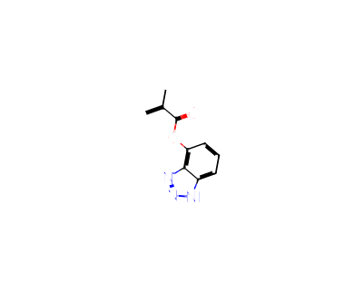 C=C(C)C(=O)Oc1cccc2[nH]nnc12